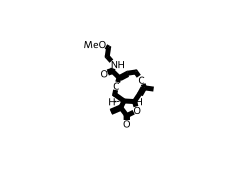 C=C1C(=O)O[C@@H]2C=C(C)CCC=C(C(=O)NCCOC)CC[C@H]12